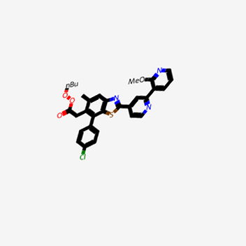 CCCCOOC(=O)Cc1c(C)cc2nc(-c3ccnc(-c4cccnc4OC)c3)sc2c1-c1ccc(Cl)cc1